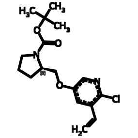 C=Cc1cc(OC[C@H]2CCCN2C(=O)OC(C)(C)C)cnc1Cl